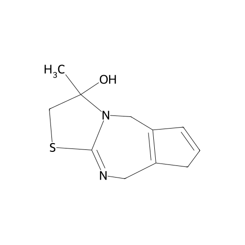 CC1(O)CSC2=NCC3=C(C=CC3)CN21